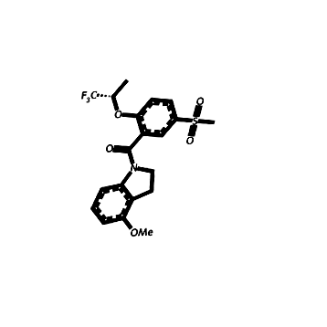 COc1cccc2c1CCN2C(=O)c1cc(S(C)(=O)=O)ccc1O[C@@H](C)C(F)(F)F